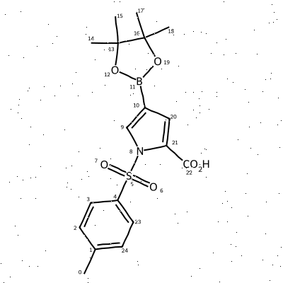 Cc1ccc(S(=O)(=O)n2cc(B3OC(C)(C)C(C)(C)O3)cc2C(=O)O)cc1